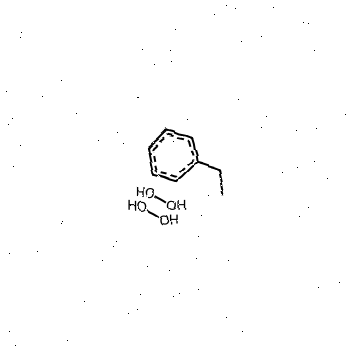 CCc1ccccc1.OO.OO